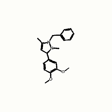 COc1ccc(C2C=C(C)N(Cc3ccccc3)N2C)cc1OC